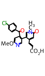 COc1cc(C(=O)c2ccc(Cl)cc2)c(-c2cn(C)c(=O)cc2/C=C/C(=O)O)cn1